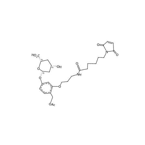 CC(=O)OCc1ccc(O[C@H]2C[C@@H](O)C[C@@H](C(=O)O)O2)cc1OCCCNC(=O)CCCCCN1C(=O)C=CC1=O